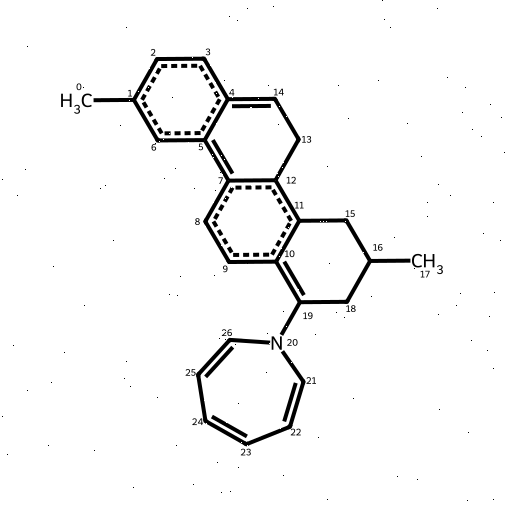 Cc1ccc2c(c1)=c1ccc3c(c1CC=2)CC(C)CC=3N1C=CC=CC=C1